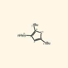 CCCCCCc1cc(C(C)(C)C)sc1C(C)(C)C